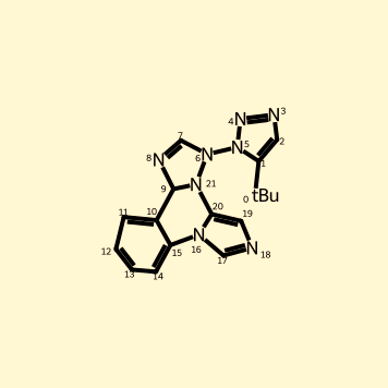 CC(C)(C)c1cnnn1N1C=NC2c3ccccc3-n3cncc3N21